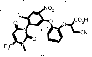 Cn1c(C(F)(F)F)cc(=O)n(-c2cc(Oc3ccccc3OC(CC#N)C(=O)O)c([N+](=O)[O-])cc2F)c1=O